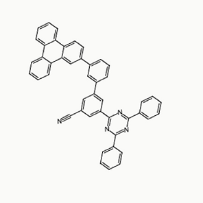 N#Cc1cc(-c2cccc(-c3ccc4c5ccccc5c5ccccc5c4c3)c2)cc(-c2nc(-c3ccccc3)nc(-c3ccccc3)n2)c1